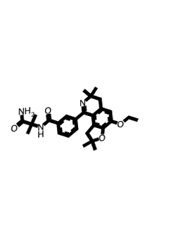 CCOc1cc2c(c3c1OC(C)(C)C3)C(c1cccc(C(=O)NC(C)(C)C(N)=O)c1)=NC(C)(C)C2